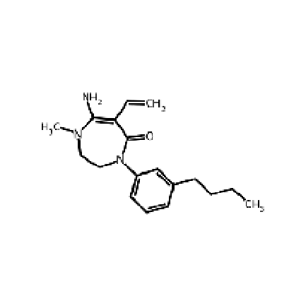 C=CC1=C(N)N(C)CCN(c2cccc(CCCC)c2)C1=O